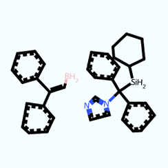 BC=C(c1ccccc1)c1ccccc1.c1ccc(C([SiH2]C2CCCCC2)(c2ccccc2)n2ccnc2)cc1